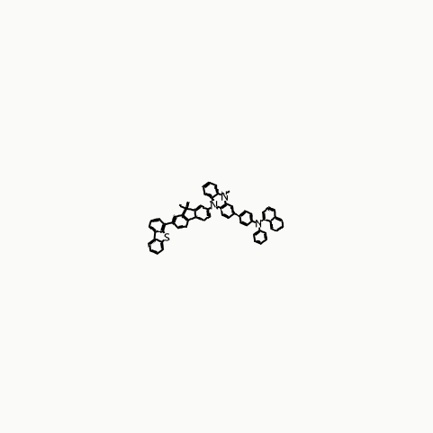 CN1c2ccccc2N(c2ccc3c(c2)C(C)(C)c2cc(-c4cccc5c4sc4ccccc45)ccc2-3)c2ccc(-c3ccc(N(c4ccccc4)c4cccc5ccccc45)cc3)cc21